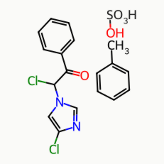 Cc1ccccc1.O=C(c1ccccc1)C(Cl)n1cnc(Cl)c1.O=S(=O)(O)O